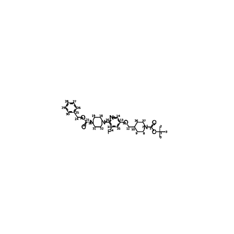 CC(C)(C)OC(=O)N1CCC(COc2cnc(N3CCN(C(=O)OCc4ccccc4)CC3)c(F)c2)CC1